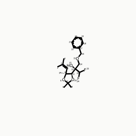 CC(C)=C[C@]1(C)OC(C)(C)O[C@@H]1[C@](O)(COCc1ccccc1)C(F)F